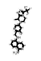 CC1c2nnc(C(F)(F)F)n2CCN1c1cnc(CNc2cccc3c(N)nccc23)c(F)c1